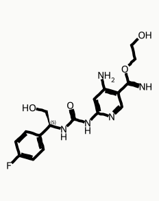 N=C(OCCO)c1cnc(NC(=O)N[C@H](CO)c2ccc(F)cc2)cc1N